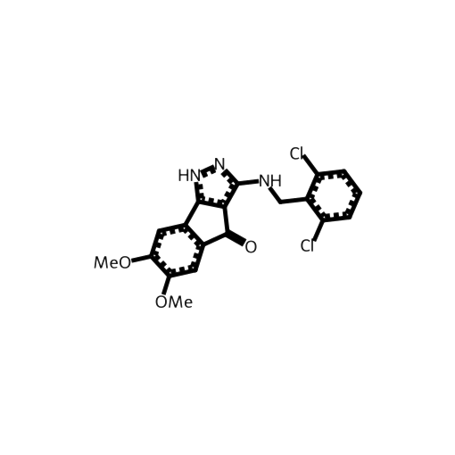 COc1cc2c(cc1OC)-c1[nH]nc(NCc3c(Cl)cccc3Cl)c1C2=O